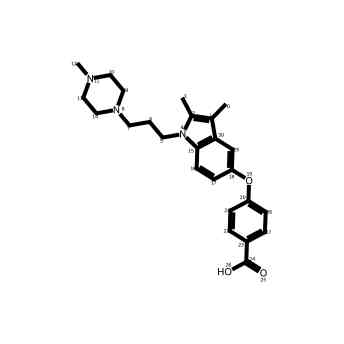 Cc1c(C)n(CCCN2CCN(C)CC2)c2ccc(Oc3ccc(C(=O)O)cc3)cc12